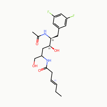 CC/C=C/CC(=O)NC(CO)C[C@H](O)[C@H](Cc1cc(F)cc(F)c1)NC(C)=O